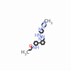 C/C=C/C(=O)Nc1cccc(-c2cccc3cnc(Nc4ccc(N5CCN(C)CC5)nc4)nc23)c1